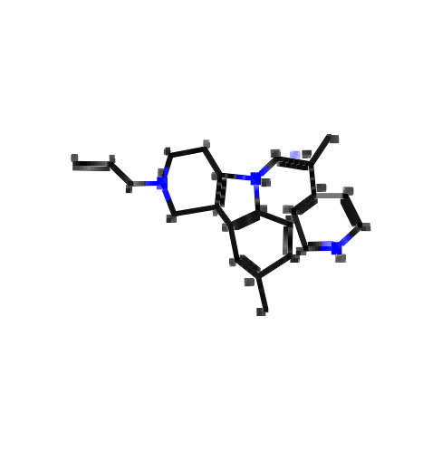 C=CCN1CCc2c(c3cc(C)ccc3n2/C=C(/C)c2ccncc2)C1